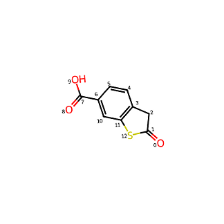 O=C1Cc2ccc(C(=O)O)cc2S1